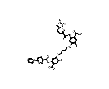 O=C(Nc1cc(OCCCCOc2cc(NC(=O)c3ccc(-n4ccnc4)nn3)c(C(=O)O)cc2F)c(F)cc1C(=O)O)C1=NN2NNN=C2C=C1